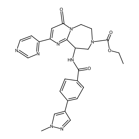 CCOC(=O)N1CCn2c(nc(-c3ccncn3)cc2=O)C(NC(=O)c2ccc(-c3cnn(C)c3)cc2)C1